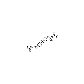 C=C(C)C(=O)OCCOc1ccc(C(C)(C)c2ccc(OC(COC(=O)C(=C)C)OCC)cc2)cc1